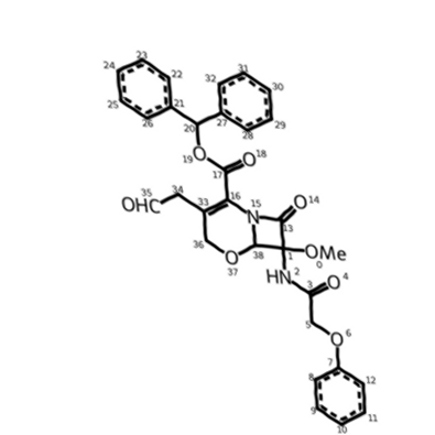 COC1(NC(=O)COc2ccccc2)C(=O)N2C(C(=O)OC(c3ccccc3)c3ccccc3)=C(CC=O)COC21